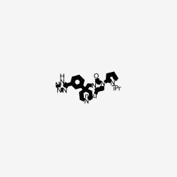 CCCCc1cn(-c2cccn2C(C)C)c(=O)n1CC1(c2cccc(-c3nnn[nH]3)c2)C=CN=CC1